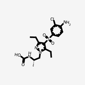 CCc1nn(C[C@H](C)NC(=O)O)c(CC)c1S(=O)(=O)c1ccc(N)c(Cl)c1